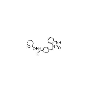 O=C(NOC1CCCCO1)c1ccc(Cn2c(=O)[nH]c3ccccc32)cc1